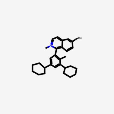 CCC(C)c1ccc2c(-c3cc(C4CCCCC4)cc(C4CCCCC4)c3C)[n+](C)ccc2c1